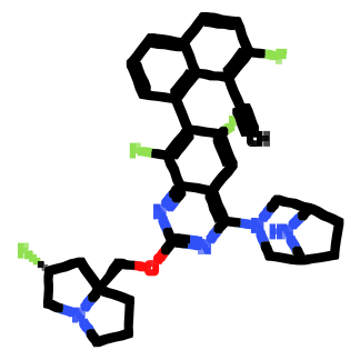 C#Cc1c(F)ccc2cccc(-c3c(F)cc4c(N5CC6CCC(C5)N6)nc(OC[C@@]56CCCN5C[C@H](F)C6)nc4c3F)c12